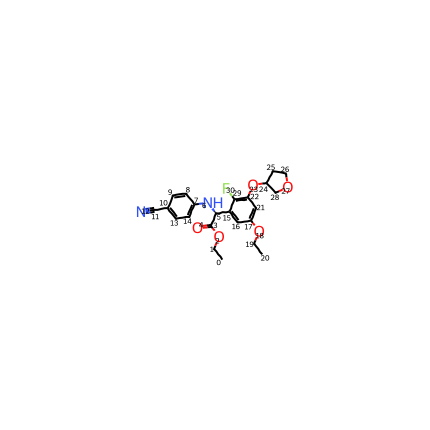 CCOC(=O)[C@@H](Nc1ccc(C#N)cc1)c1cc(OCC)cc(OC2CCOC2)c1F